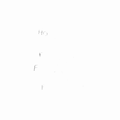 OCC1(F)C2CCC(C2)C1(F)F